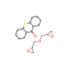 C(OCC1CO1)C1CO1.O=c1c2ccccc2sc2ccccc12